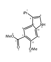 COC(=O)c1cc2c(C(C)C)c[nH]c2cc1OC